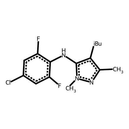 CCC(C)c1c(C)nn(C)c1Nc1c(F)cc(Cl)cc1F